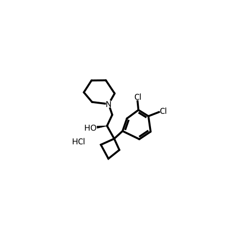 Cl.O[C@@H](CN1CCCCC1)C1(c2ccc(Cl)c(Cl)c2)CCC1